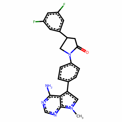 Cn1cc(-c2ccc(N3CC(c4cc(F)cc(F)c4)CC3=O)cc2)c2c(N)ncnc21